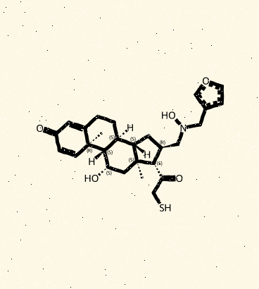 C[C@]12C[C@H](O)[C@H]3[C@@H](CCC4=CC(=O)C=C[C@@]43C)[C@@H]1C[C@@H](CN(O)Cc1ccoc1)[C@@H]2C(=O)CS